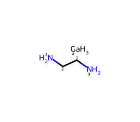 NCCN.[GaH3]